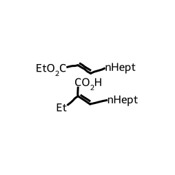 CCCCCCCC=C(CC)C(=O)O.CCCCCCCC=CC(=O)OCC